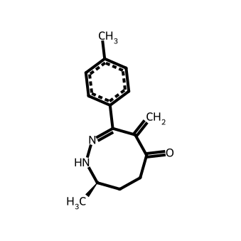 C=C1C(=O)CC[C@@H](C)N/N=C\1c1ccc(C)cc1